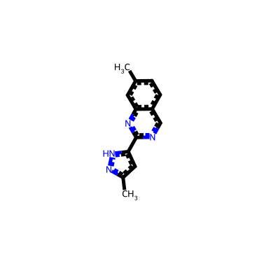 Cc1ccc2cnc(-c3cc(C)n[nH]3)nc2c1